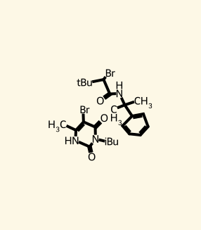 CC(C)(NC(=O)C(Br)C(C)(C)C)c1ccccc1.CCC(C)n1c(=O)[nH]c(C)c(Br)c1=O